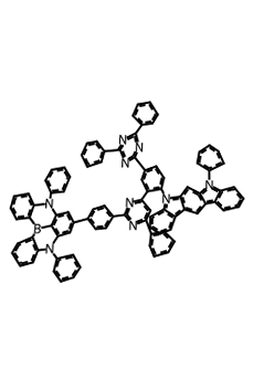 c1ccc(-c2cc(-c3cc(-c4nc(-c5ccccc5)nc(-c5ccccc5)n4)ccc3-n3c4ccccc4c4cc5c6ccccc6n(-c6ccccc6)c5cc43)nc(-c3ccc(-c4cc5c6c(c4)N(c4ccccc4)c4ccccc4B6c4ccccc4N5c4ccccc4)cc3)n2)cc1